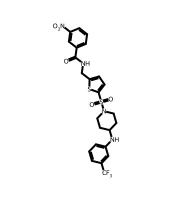 O=C(NCc1ccc(S(=O)(=O)N2CCC(Nc3cccc(C(F)(F)F)c3)CC2)s1)c1cccc([N+](=O)[O-])c1